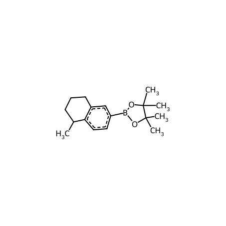 CC1CCCc2cc(B3OC(C)(C)C(C)(C)O3)ccc21